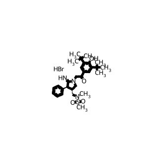 Br.CN(C[C@H]1CN(CC(=O)c2cc(C(C)(C)C)c(O)c(C(C)(C)C)c2)C(=N)[C@@H]1c1ccccc1)S(C)(=O)=O